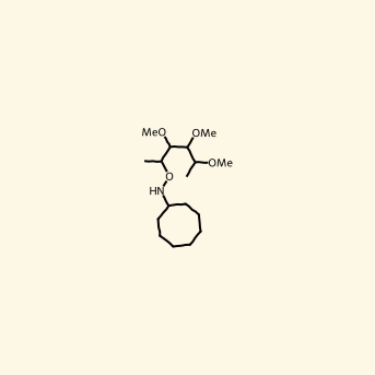 COC(C)C(OC)C(OC)C(C)ONC1CCCCCCC1